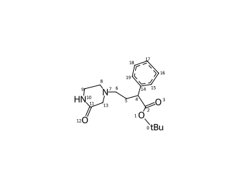 CC(C)(C)OC(=O)C(CCN1CCNC(=O)C1)c1ccccc1